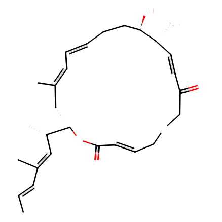 C/C=C/C(C)=C/[C@H](C)[C@@H]1C/C(C)=C/C=C/CC[C@@H](O)[C@H](N=O)/C=C/C(=O)CCC/C=C/C(=O)O1